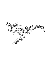 CC(C)(C)n1ncc2c(NC(=O)c3ccc([N+](=O)[O-])s3)nc(-c3ccc(C(F)(F)F)cc3)nc21